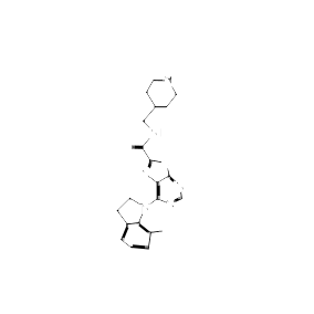 CN1CCC(CNC(=O)c2nc3c(N4CCc5cccc(F)c54)ncnc3s2)CC1